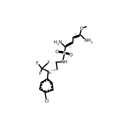 CO/C(N)=C/C=C(\N)S(=O)(=O)NCC[C@H](c1ccc(Cl)cc1)C(F)(F)F